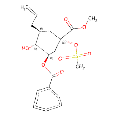 C=CC[C@H]1C[C@@](OS(C)(=O)=O)(C(=O)OC)C[C@@H](OC(=O)c2ccccc2)[C@@H]1O